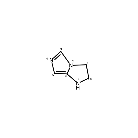 [CH]1Cn2cncc2N1